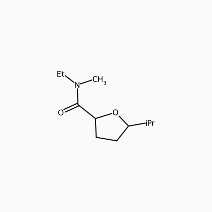 CCN(C)C(=O)C1CCC(C(C)C)O1